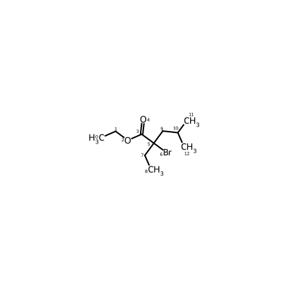 CCOC(=O)C(Br)(CC)CC(C)C